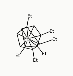 CC[C]12[CH]3[CH]4[C]5(CC)[C]1(CC)[Fe]34251678[CH]2[CH]1[C]6(CC)[C]7(CC)[C]28CC